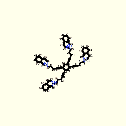 C(#Cc1cc(C#CCCC[n+]2ccc3ccccc3c2)c(C#CCCC[n+]2ccc3ccccc3c2)cc1C#CCCC[n+]1ccc2ccccc2c1)CCC[n+]1ccc2ccccc2c1